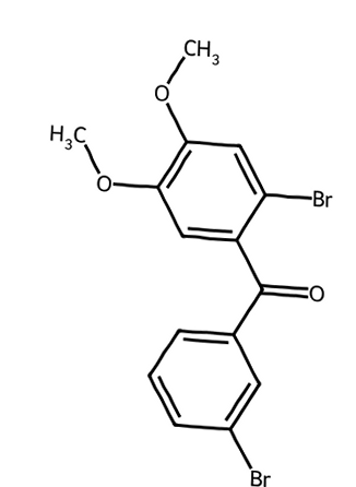 COc1cc(Br)c(C(=O)c2cccc(Br)c2)cc1OC